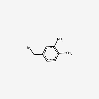 Cc1ccc(CBr)cc1[N+](=O)[O-]